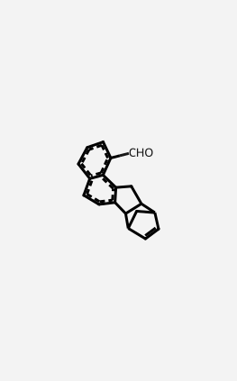 O=Cc1cccc2ccc3c(c12)CC1C2C=CC(C2)C31